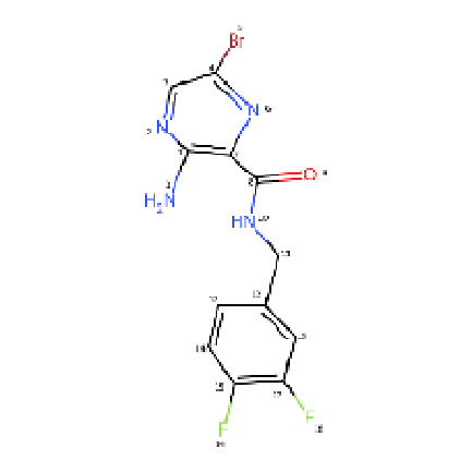 Nc1ncc(Br)nc1C(=O)NCc1ccc(F)c(F)c1